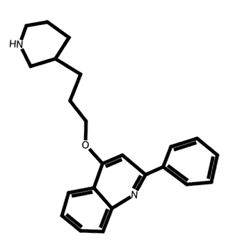 c1ccc(-c2cc(OCCCC3CCCNC3)c3ccccc3n2)cc1